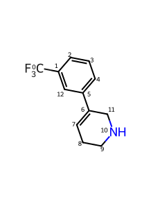 FC(F)(F)c1cccc(C2=CCCNC2)c1